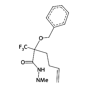 C=CCCC(OCc1ccccc1)(C(=O)NNC)C(F)(F)F